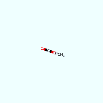 O=C=O.[13CH4]